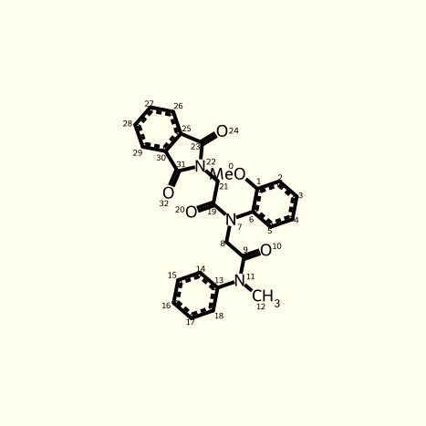 COc1ccccc1N(CC(=O)N(C)c1ccccc1)C(=O)CN1C(=O)c2ccccc2C1=O